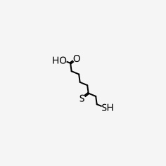 O=C(O)CCCCC(=S)CCS